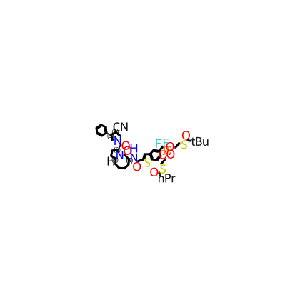 CCCC(=O)SCCOP(=O)(OCCSC(=O)C(C)(C)C)C(F)(F)c1ccc2sc(C(=O)N[C@H]3CCCC[C@H]4CC[C@@H](C(=O)N5C[C@H](c6ccccc6)[C@@H](C#N)C5)N4C3=O)cc2c1